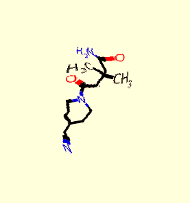 CC(C)([CH]C(=O)N1CCC(C#N)CC1)C(N)=O